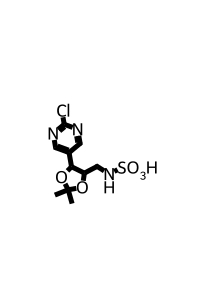 CC1(C)OC(CNS(=O)(=O)O)C(c2cnc(Cl)nc2)O1